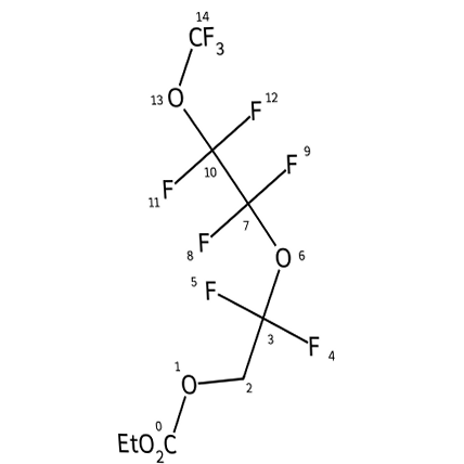 CCOC(=O)OCC(F)(F)OC(F)(F)C(F)(F)OC(F)(F)F